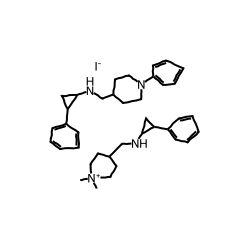 C[N+]1(C)CCC(CNC2CC2c2ccccc2)CC1.[I-].c1ccc(C2CC2NCC2CCN(c3ccccc3)CC2)cc1